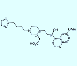 COc1ccc2nccc([C@H](O)CC[C@@H]3CCN(CCCCc4ncco4)C[C@@H]3CC(=O)O)c2c1